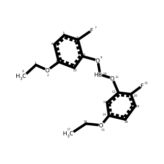 CCOc1ccc(F)c(OBOc2cc(OCC)ccc2F)c1